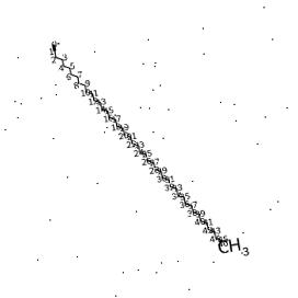 [C]#CCCCCCCCCCCCCCCCCCCCCCCCCCCCCCCCCCCCCCCCCCCCCC